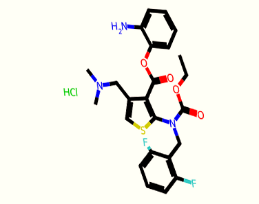 CCOC(=O)N(Cc1c(F)cccc1F)c1scc(CN(C)C)c1C(=O)Oc1ccccc1N.Cl